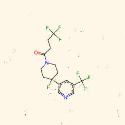 O=C(CCC(F)(F)F)N1CCC(F)(c2cncc(C(F)(F)F)c2)CC1